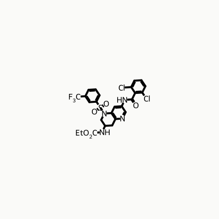 CCOC(=O)NC1Cc2ncc(NC(=O)c3c(Cl)cccc3Cl)cc2N(S(=O)(=O)c2cccc(C(F)(F)F)c2)C1